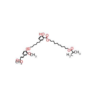 C=C(C)C(=O)OCCCCCCCCCCCOC(=O)c1cc(CCCCCCOOc2ccc(C=CC(=O)OC)cc2OC)ccc1O